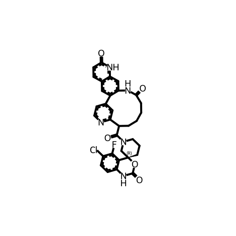 O=C1CCCCC(C(=O)N2CCC[C@@]3(C2)OC(=O)Nc2ccc(Cl)c(F)c23)c2cc(ccn2)-c2cc3ccc(=O)[nH]c3cc2N1